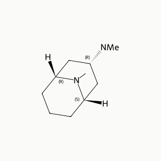 CN[C@H]1C[C@H]2CCC[C@@H](C1)N2C